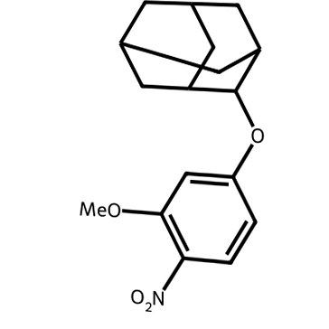 COc1cc(OC2C3CC4CC(C3)CC2C4)ccc1[N+](=O)[O-]